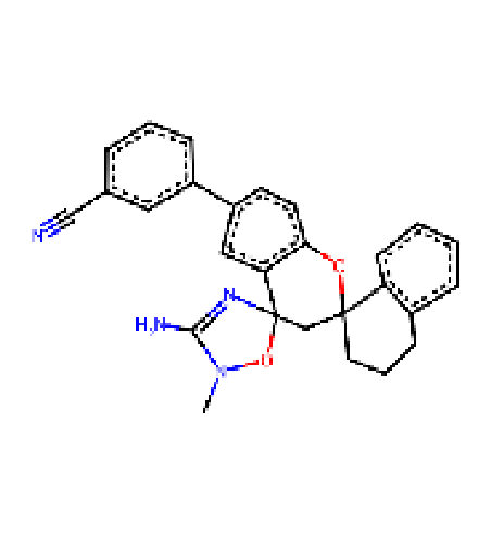 CN1OC2(CC3(CCCc4ccccc43)Oc3ccc(-c4cccc(C#N)c4)cc32)N=C1N